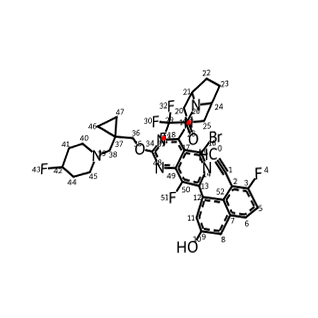 C#Cc1c(F)ccc2cc(O)cc(-c3nc(Br)c4c(N5CC6CCC(C5)N6C(=O)C(F)(F)F)nc(OCC5(CN6CCC(F)CC6)CC5)nc4c3F)c12